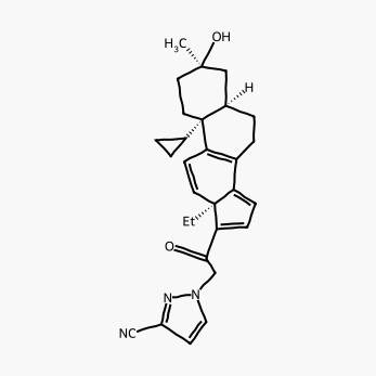 CC[C@]12C=CC3=C(CC[C@@H]4C[C@](C)(O)CC[C@]34C3CC3)C1=CC=C2C(=O)Cn1ccc(C#N)n1